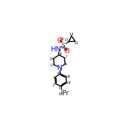 CC(C)c1ccc(N2CCC(NS(=O)(=O)C3CC3)CC2)cc1